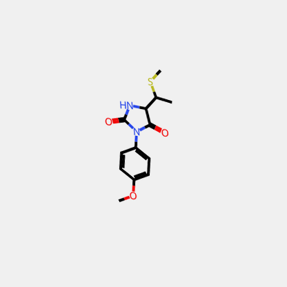 COc1ccc(N2C(=O)NC(C(C)SC)C2=O)cc1